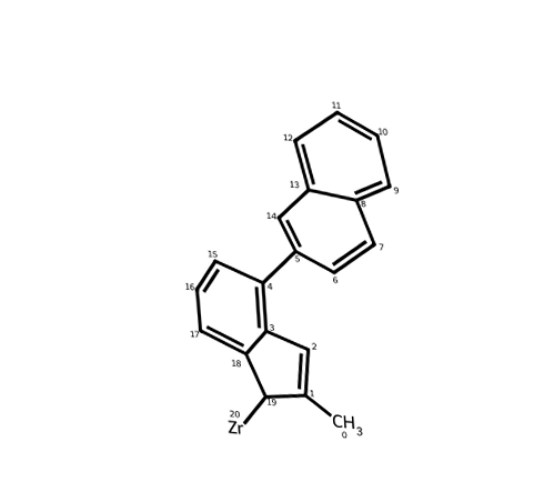 CC1=Cc2c(-c3ccc4ccccc4c3)cccc2[CH]1[Zr]